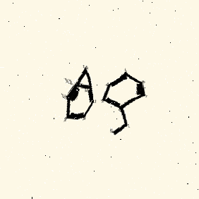 CCc1ccccc1.c1ccc2c(c1)C2